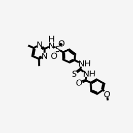 COc1ccc(C(=O)NC(=S)Nc2ccc(S(=O)(=O)Nc3nc(C)cc(C)n3)cc2)cc1